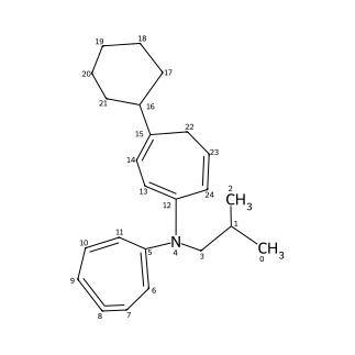 CC(C)CN(C1=CC=C=CC=C1)C1=CC=C(C2CCCCC2)CC=C1